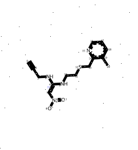 C#CCN/C(=C/[N+](=O)[O-])NCCSCc1ncccc1C